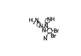 N#Cc1c(Br)c(Br)cc2c1nc(N1CC[C@@H](N)C1)n2[C@H]1CCNC1